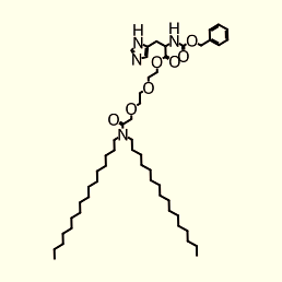 CCCCCCCCCCCCCCCCN(CCCCCCCCCCCCCCCC)C(=O)COCCOCCOC(=O)C(Cc1cnc[nH]1)NC(=O)OCc1ccccc1